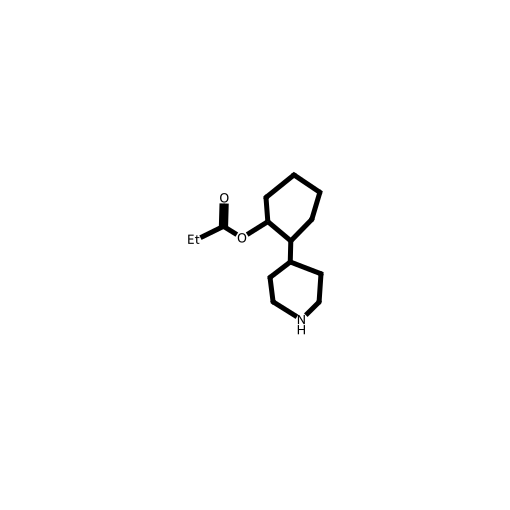 CCC(=O)OC1CCCCC1C1CCNCC1